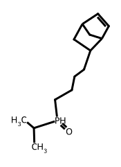 CC(C)[PH](=O)CCCCC1CC2C=CC1C2